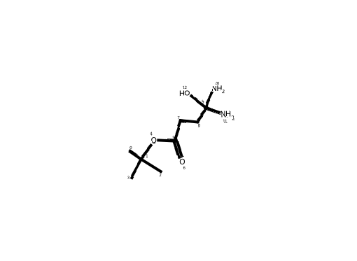 CC(C)(C)OC(=O)CCC(N)(N)O